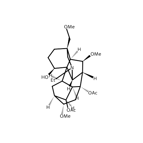 CCN1C[C@]2(COC)CC[C@H](O)C34[C@@H]5C[C@H]6[C@H](OC(C)=O)[C@@H]5[C@](OC(C)=O)(C[C@@H]6OC)[C@@H]([C@H](OC)[C@@H]32)[C@@H]14